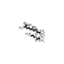 C=C(C)C(=O)OC.C=C(C)C(=O)OCCCC.C=C(CCCN(C)C)C(=O)O